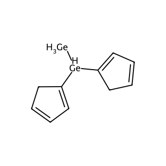 [GeH3][GeH]([C]1=CC=CC1)[C]1=CC=CC1